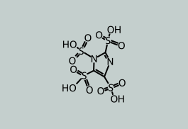 O=S(=O)(O)c1nc(S(=O)(=O)O)n(S(=O)(=O)O)c1S(=O)(=O)O